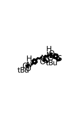 CC(C)(C)OC(=O)NCc1ccc(CCCN(CCNS(=O)(=O)c2ccc3sccc3c2)C(=O)OC(C)(C)C)cc1